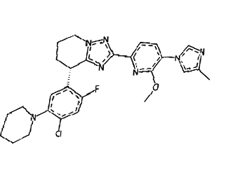 COc1nc(-c2nc3n(n2)CCC[C@H]3c2cc(N3CCCCC3)c(Cl)cc2F)ccc1-n1cnc(C)c1